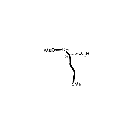 CON[C@@H](CCSC)C(=O)O